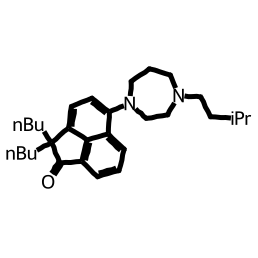 CCCCC1(CCCC)C(=O)c2cccc3c(N4CCCN(CCC(C)C)CC4)ccc1c23